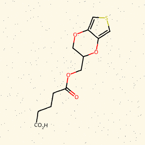 O=C(O)CCCC(=O)OCC1COc2cscc2O1